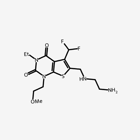 CCn1c(=O)c2c(C(F)F)c(CNCCN)sc2n(CCOC)c1=O